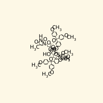 COc1ccc(C(OC[C@H]2O[C@@H](n3cc(C)c(=O)[nH]c3=O)C[C@]2(O)OP(=O)(OC(O)[C@H]2O[C@@H](n3cc(C)c(=O)[nH]c3=O)C[C@@H]2OC(c2ccccc2)(c2ccc(OC)cc2)c2ccc(OC)cc2)SCSC(C)=O)(c2ccccc2)c2ccc(OC)cc2)cc1